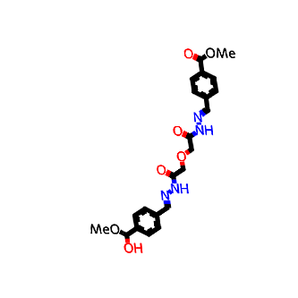 COC(=O)c1ccc(C=NNC(=O)COCC(=O)NN=Cc2ccc(C(O)OC)cc2)cc1